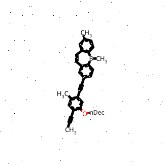 CC#Cc1cc(C)c(C#Cc2ccc3c(c2)C=Cc2cc(C)ccc2B3C)cc1OCCCCCCCCCC